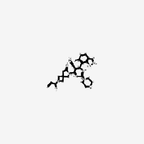 C=CC(=O)N1CC2(CC(=O)N(c3nc(N4CCOCC4)nc(-c4c(C)ccc5cn[nH]c45)c3C#N)C2)C1